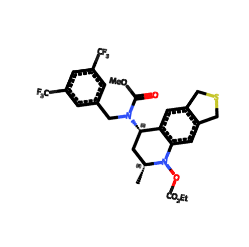 CCOC(=O)ON1c2cc3c(cc2[C@@H](N(Cc2cc(C(F)(F)F)cc(C(F)(F)F)c2)C(=O)OC)C[C@H]1C)CSC3